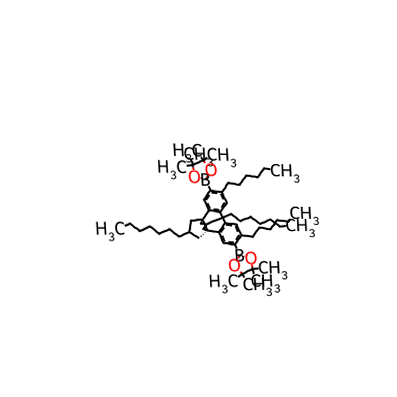 CCCCCCCC1C[C@]23CC(CCCCCCC)C[C@@]2(C1)c1cc(B2OC(C)(C)C(C)(C)O2)c(CCCCCC)cc1-c1cc(CCCCCC)c(B2OC(C)(C)C(C)(C)O2)cc13